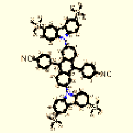 [C-]#[N+]c1ccc(-c2c3ccc(-n4c5ccc([Si](C)(C)C)cc5c5cc([Si](C)(C)C)ccc54)cc3c(-c3ccc(C#N)cc3)c3ccc(-n4c5ccc([Si](C)(C)C)cc5c5cc([Si](C)(C)C)ccc54)cc23)cc1